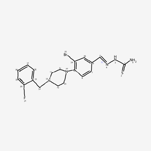 NC(=S)N/N=C/c1ccc(N2CCN(Cc3ccccc3F)CC2)c(Br)c1